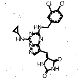 O=C1NC(=O)/C(=C/c2cnn3c(NC4CC4)nc(NCc4ccc(Cl)c(Cl)c4)nc23)N1